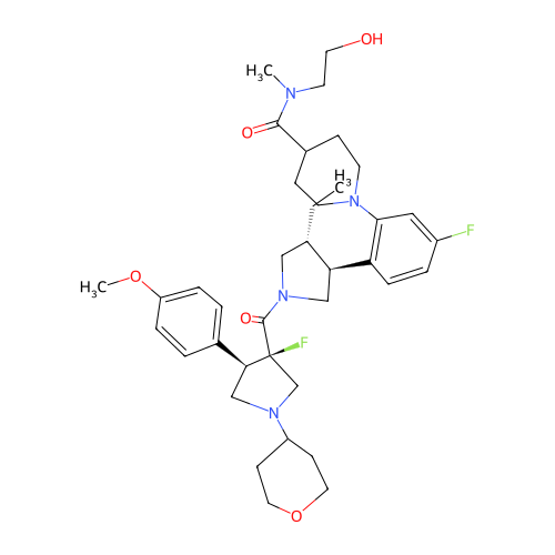 CC[C@H]1CN(C(=O)[C@]2(F)CN(C3CCOCC3)C[C@H]2c2ccc(OC)cc2)C[C@@H]1c1ccc(F)cc1N1CCC(C(=O)N(C)CCO)CC1